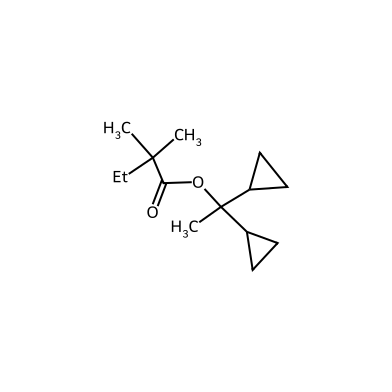 CCC(C)(C)C(=O)OC(C)(C1CC1)C1CC1